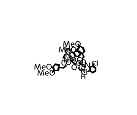 COc1ccc(CCO[N+]2(OC(=O)C(=O)O[N+]3(OCCc4ccc(OC)c(OC)c4)CCNC3=Nc3c(Cl)cccc3Cl)CCNC2=Nc2c(Cl)cccc2Cl)cc1OC